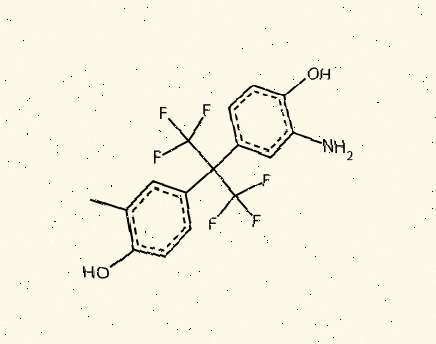 Cc1cc(C(c2ccc(O)c(N)c2)(C(F)(F)F)C(F)(F)F)ccc1O